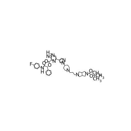 CC(C)(C)OC(=O)N1CC2CN(CCCN3CCC(n4cc(-c5cnc(N)c(C(=O)O[C@@H](C(=O)Nc6ccc(F)cc6)c6ccccc6)n5)cn4)CC3)CC2C1